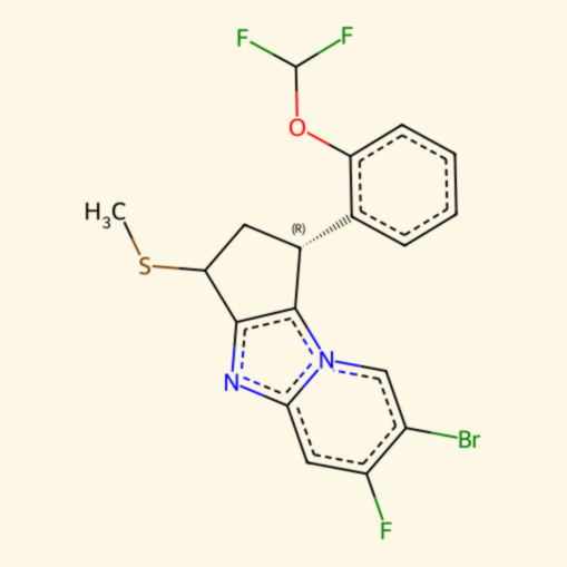 CSC1C[C@H](c2ccccc2OC(F)F)c2c1nc1cc(F)c(Br)cn21